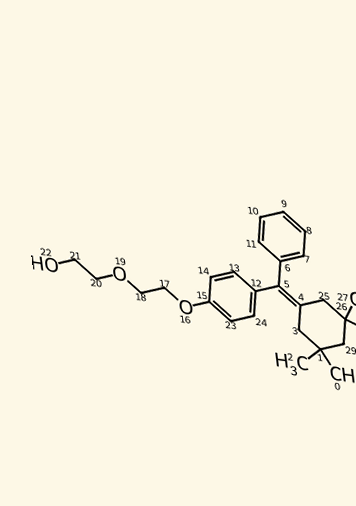 CC1(C)CC(=C(c2ccccc2)c2ccc(OCCOCCO)cc2)CC(C)(C)C1